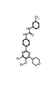 CCOc1c(C(C)=O)nc(-c2ccc(NC(=O)Nc3cccc(C(F)(F)F)c3)cc2)nc1N1CCOCC1